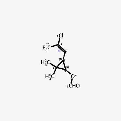 CC1(C)[C@H](OC=O)[C@@H]1/C=C(/Cl)C(F)(F)F